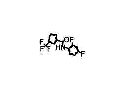 O=C(Nc1ccc(F)cc1F)c1cccc(C(F)(F)F)c1